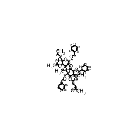 C=CCO[C@@H]1O[C@H](COCc2ccccc2)[C@@H](O[C@H]2O[C@H](COCc3ccccc3)[C@@H](OC(=O)CCC(C)=O)[C@H](OC)[C@H]2OCc2ccccc2)[C@H](OC)[C@H]1OC(C)=O